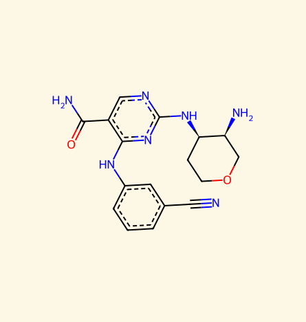 N#Cc1cccc(Nc2nc(N[C@@H]3CCOC[C@@H]3N)ncc2C(N)=O)c1